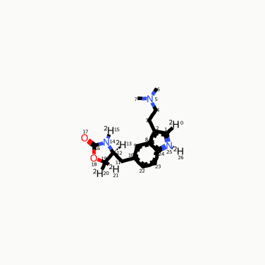 [2H]c1c(CCN(C)C)c2cc(C[C@]3([2H])N([2H])C(=O)OC3([2H])[2H])ccc2n1[2H]